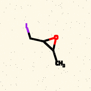 CC1OC1CI